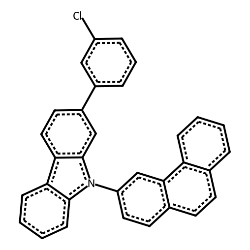 Clc1cccc(-c2ccc3c4ccccc4n(-c4ccc5ccc6ccccc6c5c4)c3c2)c1